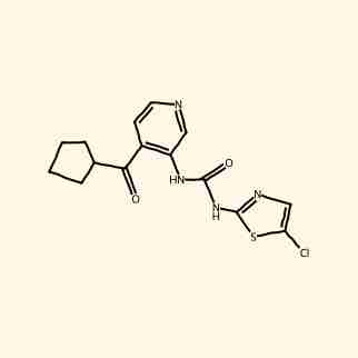 O=C(Nc1ncc(Cl)s1)Nc1cnccc1C(=O)C1CCCC1